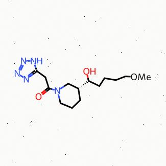 COCCCCC(O)[C@@H]1CCCN(C(=O)Cc2nnn[nH]2)C1